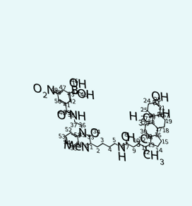 CNC(CCCCNC(=O)CCC(C)C1CCC2C3CC[C@H]4C[C@@H](O)CC[C@@]4(C)C3CC[C@@]12C)C(=O)N(CCNC(=O)c1cc(B(O)O)cc([N+](=O)[O-])c1)c1ccccc1